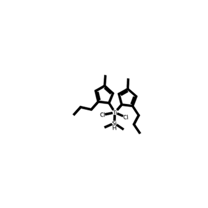 CCCC1=CC(C)=C[CH]1[Ti]([Cl])([Cl])([CH]1C=C(C)C=C1CCC)[SiH](C)C